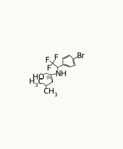 CC(C)C[C@@H](CO)NC(c1ccc(Br)cc1)C(F)(F)F